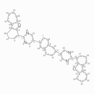 C1=C(c2ncc(-c3ccc4cc(-c5cnc(-c6cccc7c6oc6ccccc67)nc5)ccc4c3)cn2)c2oc3ccccc3c2CC1